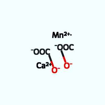 O=C([O-])[O-].O=C([O-])[O-].[Ca+2].[Mn+2]